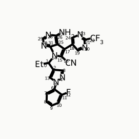 CCC(c1cnn(-c2ccccc2F)c1)n1c(C#N)c(-c2cnc(C(F)(F)F)nc2)c2c(N)ncnc21